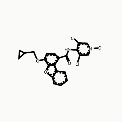 O=C(Nc1c(Cl)c[n+]([O-])cc1Cl)c1ccc(OCC2CC2)c2oc3ccccc3c12